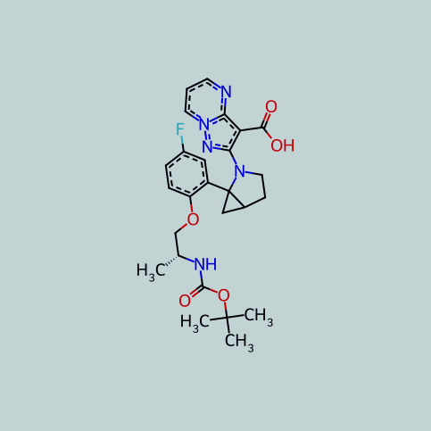 C[C@H](COc1ccc(F)cc1C12CC1CCN2c1nn2cccnc2c1C(=O)O)NC(=O)OC(C)(C)C